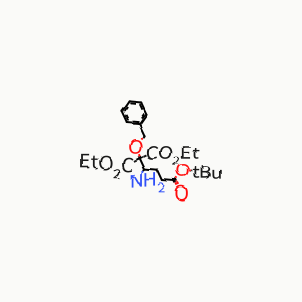 CCOC(=O)C(OCc1ccccc1)(C(=O)OCC)C(N)CCC(=O)OC(C)(C)C